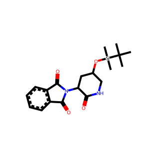 CC(C)(C)[Si](C)(C)OC1CNC(=O)C(N2C(=O)c3ccccc3C2=O)C1